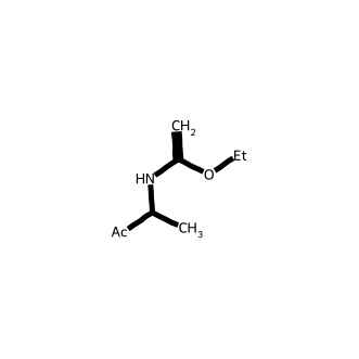 C=C(NC(C)C(C)=O)OCC